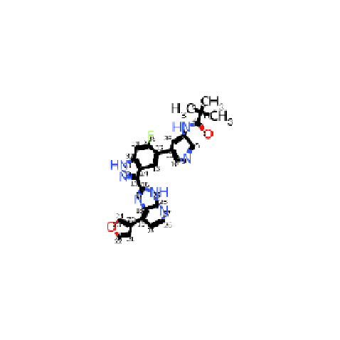 CC(C)(C)C(=O)Nc1cncc(-c2cc3c(-c4nc5c(-c6ccoc6)ccnc5[nH]4)n[nH]c3cc2F)c1